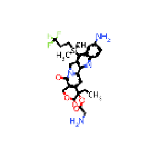 CCC1(OC(=O)CN)C(=O)OCc2c1cc1n(c2=O)Cc2c-1nc1ccc(N)cc1c2[Si](C)(C)CCC(F)(F)F